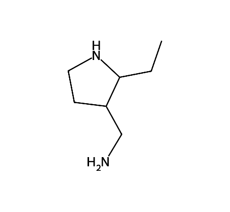 CCC1NCCC1CN